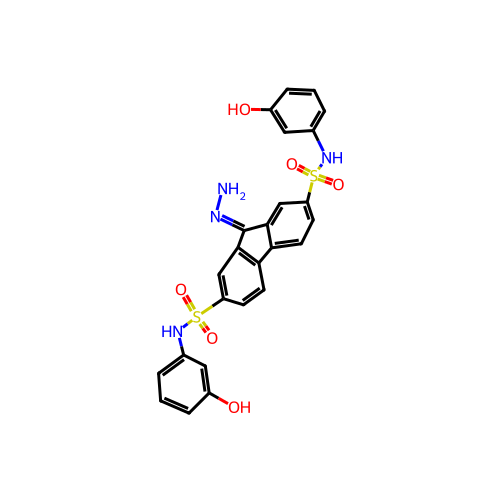 NN=C1c2cc(S(=O)(=O)Nc3cccc(O)c3)ccc2-c2ccc(S(=O)(=O)Nc3cccc(O)c3)cc21